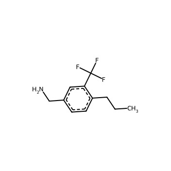 CCCc1ccc(CN)cc1C(F)(F)F